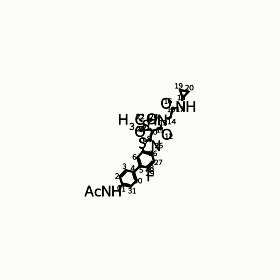 CC(=O)Nc1ccc(-c2cc3sc(C(C(=O)NCC(=O)NC4CC4)S(C)(=O)=O)nc3cc2F)cc1